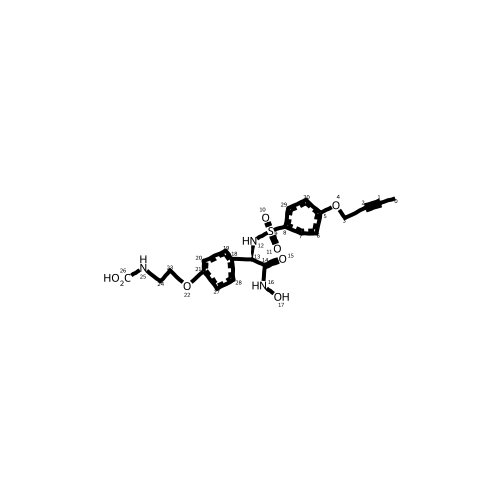 CC#CCOc1ccc(S(=O)(=O)N[C@@H](C(=O)NO)c2ccc(OCCNC(=O)O)cc2)cc1